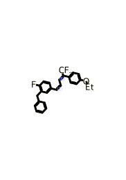 CCOc1ccc(/C(=C\C=C/c2ccc(F)c(Cc3ccccc3)c2)C(F)(F)F)cc1